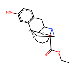 CCOC(=O)C1CC2C3Cc4ccc(O)cc4[C@@]24CCCCCN3C1C4